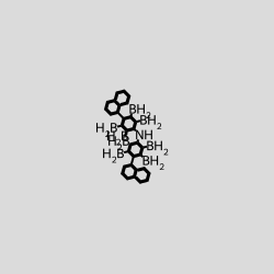 Bc1c(B)c(-c2cccc3ccccc23)c(B)c(B)c1Nc1c(B)c(B)c(-c2cccc3ccccc23)c(B)c1B